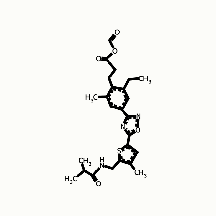 CCc1cc(-c2noc(-c3cc(C)c(CNC(=O)C(C)C)s3)n2)cc(C)c1CCC(=O)OC=O